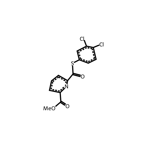 COC(=O)c1cccc(C(=O)Sc2ccc(Cl)c(Cl)c2)n1